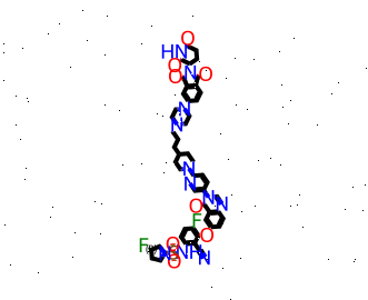 N#Cc1c(NS(=O)(=O)N2CC[C@@H](F)C2)ccc(F)c1Oc1ccc2ncn(-c3ccc(N4CCC(CCCN5CCN(c6ccc7c(c6)C(=O)N(C6CCC(=O)NC6=O)C7=O)CC5)CC4)nc3)c(=O)c2c1